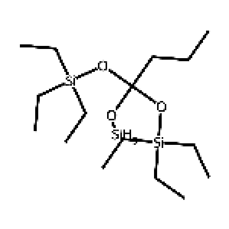 CCCC(O[SiH3])(O[Si](CC)(CC)CC)O[Si](CC)(CC)CC